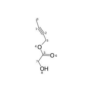 CC#CCOC(=O)CO